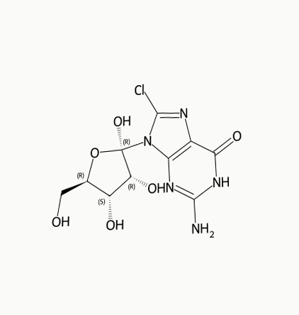 Nc1nc2c(nc(Cl)n2[C@]2(O)O[C@H](CO)[C@@H](O)[C@H]2O)c(=O)[nH]1